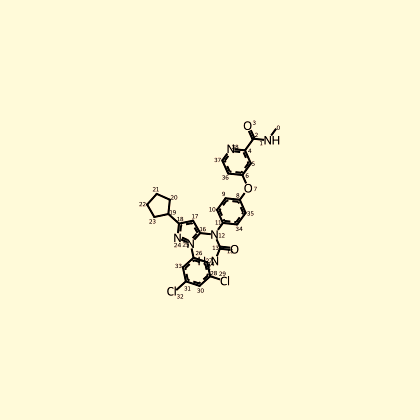 CNC(=O)c1cc(Oc2ccc(N(C(N)=O)c3cc(C4CCCC4)nn3-c3cc(Cl)cc(Cl)c3)cc2)ccn1